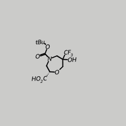 CC(C)(C)OC(=O)N1C[C@@H](C(=O)O)OCC(O)(C(F)(F)F)C1